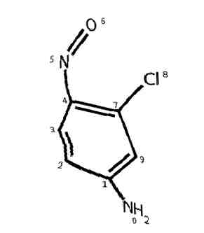 Nc1ccc(N=O)c(Cl)c1